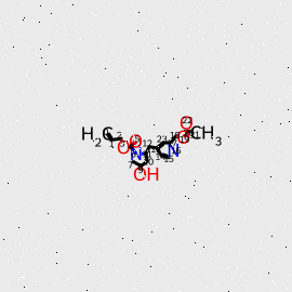 C=CCOC(=O)N1CC(O)CC1Cc1ccnc(COC(C)=O)c1